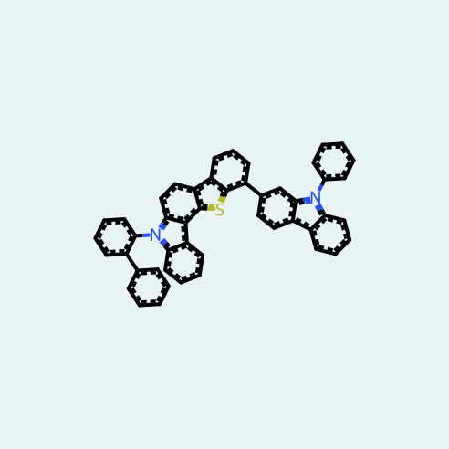 c1ccc(-c2ccccc2-n2c3ccccc3c3c4sc5c(-c6ccc7c8ccccc8n(-c8ccccc8)c7c6)cccc5c4ccc32)cc1